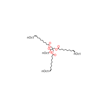 CCCCCCCC/C=C\CCCCCCCC(=O)OCC(COC(=O)CCCCCCC/C=C\CCCCCCCC)(COC(=O)CCCCCCC/C=C\CCCCCCCC)C(=O)OCCCCCCCC